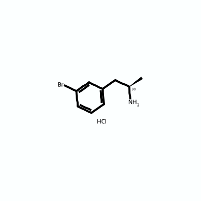 C[C@@H](N)Cc1cccc(Br)c1.Cl